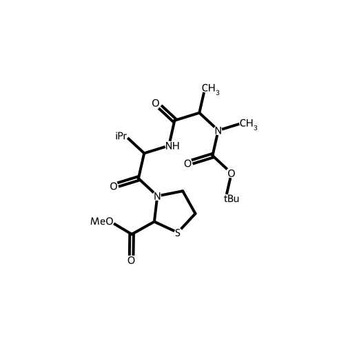 COC(=O)C1SCCN1C(=O)C(NC(=O)C(C)N(C)C(=O)OC(C)(C)C)C(C)C